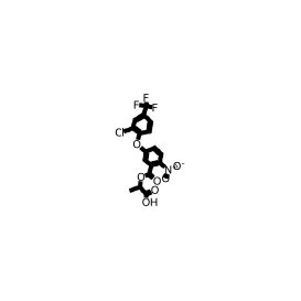 CC(OC(=O)c1cc(Oc2ccc(C(F)(F)F)cc2Cl)ccc1[N+](=O)[O-])C(=O)O